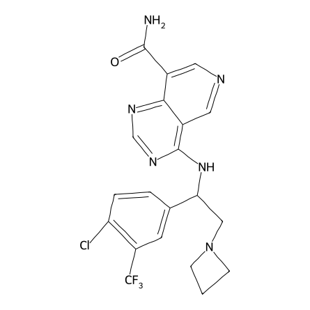 NC(=O)c1cncc2c(NC(CN3CCC3)c3ccc(Cl)c(C(F)(F)F)c3)ncnc12